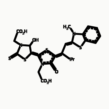 CC(C)C(/C=C1\Sc2ccccc2N1C)=c1/s/c(=C2/SC(=S)N(CC(=O)O)C2O)n(CC(=O)O)c1=O